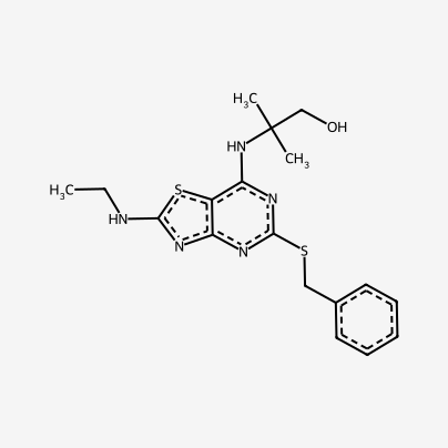 CCNc1nc2nc(SCc3ccccc3)nc(NC(C)(C)CO)c2s1